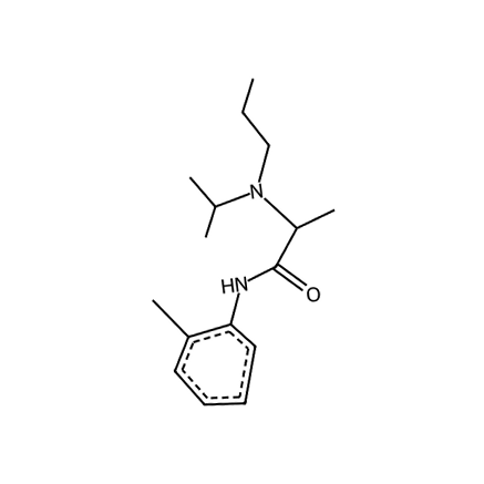 CCCN(C(C)C)C(C)C(=O)Nc1ccccc1C